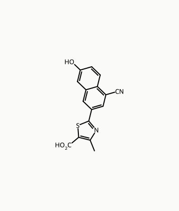 Cc1nc(-c2cc(C#N)c3ccc(O)cc3c2)sc1C(=O)O